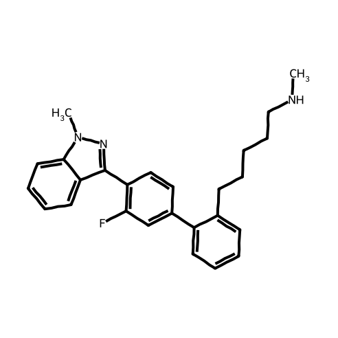 CNCCCCCc1ccccc1-c1ccc(-c2nn(C)c3ccccc23)c(F)c1